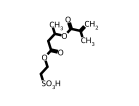 C=C(C)C(=O)OC(C)CC(=O)OCCS(=O)(=O)O